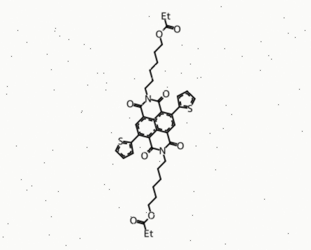 CCC(=O)OCCCCCCN1C(=O)c2cc(-c3cccs3)c3c4c(cc(-c5cccs5)c(c24)C1=O)C(=O)N(CCCCCCOC(=O)CC)C3=O